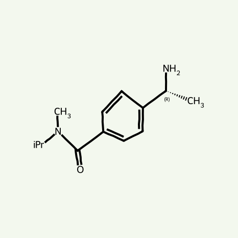 CC(C)N(C)C(=O)c1ccc([C@@H](C)N)cc1